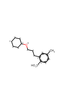 Cc1ccc(S(=O)(=O)O)c(CCCOC2CCCCC2)c1